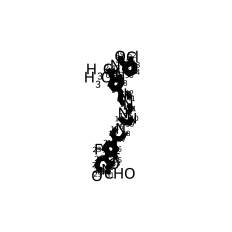 CC1(C)c2ccc(N3CCN(Cc4ncc(N5CCC(c6cc(F)c(C7CCC(=O)N(C=O)C7=O)c(F)c6)CC5)cn4)CC3)cc2-n2c1nc(=O)c1c(Cl)cccc12